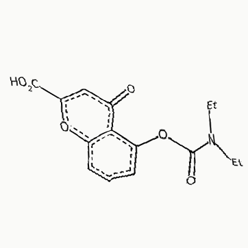 CCN(CC)C(=O)Oc1cccc2oc(C(=O)O)cc(=O)c12